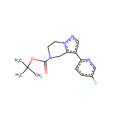 CC(C)(C)OC(=O)N1CCn2ncc(-c3ccc(F)cn3)c2C1